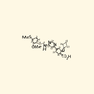 COc1cc(SC)ccc1CCNc1cc(-c2ccc(C(=O)O)c(OC3CCC3)c2)ncn1